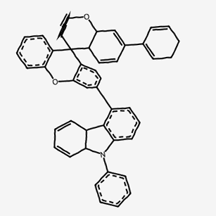 C1=CC2OC3C=C(C4=CCCC=C4)C=CC3C3(c4ccccc4Oc4cc(-c5cccc6c5C5C=CC=CC5N6c5ccccc5)ccc43)C2C=C1